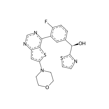 O[C@H](c1ccc(F)c(-c2ncnc3cc(N4CCOCC4)sc23)c1)c1nccs1